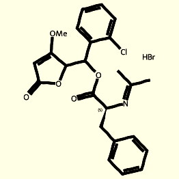 Br.COC1=CC(=O)OC1C(OC(=O)[C@H](Cc1ccccc1)N=C(C)C)c1ccccc1Cl